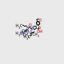 C/C=C/C(C)(C)C[C@H]1[C@H](C(=O)O)[C@@H](c2ccc3c(c2)CCO3)CN1CC(=O)N(CCCC)CCC[N+](C)(C)C